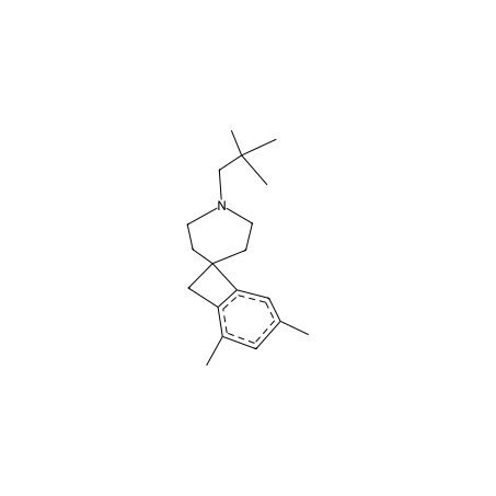 Cc1cc(C)c2c(c1)C1(CCN(CC(C)(C)C)CC1)C2